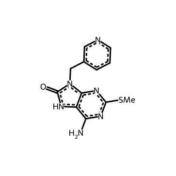 CSc1nc(N)c2[nH]c(=O)n(Cc3cccnc3)c2n1